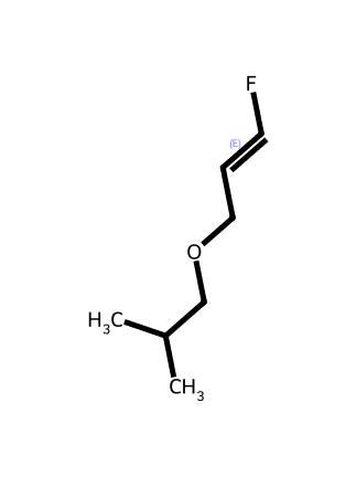 CC(C)COC/C=C/F